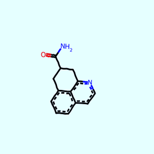 NC(=O)C1Cc2cccc3ccnc(c23)C1